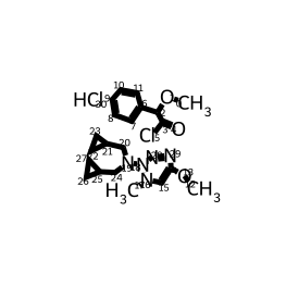 COC(C(=O)Cl)c1ccccc1.COC1=CN(C)N(N(CC2CC2)CC2CC2)N=N1.Cl